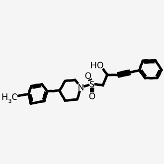 Cc1ccc(C2CCN(S(=O)(=O)C[C](O)C#Cc3ccccc3)CC2)cc1